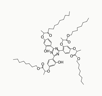 CCCCCCCCCC(=O)C(C)Oc1ccc(-c2nc(-c3ccc(OC(C)C(=O)OCCCCCCCC)cc3O)nc(-c3ccc(OC(C)C(=O)OCCCCCCCC)cc3OC(C)C(=O)OCCCCCCCC)n2)c(O)c1